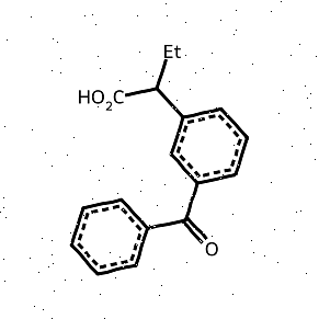 CCC(C(=O)O)c1cccc(C(=O)c2ccccc2)c1